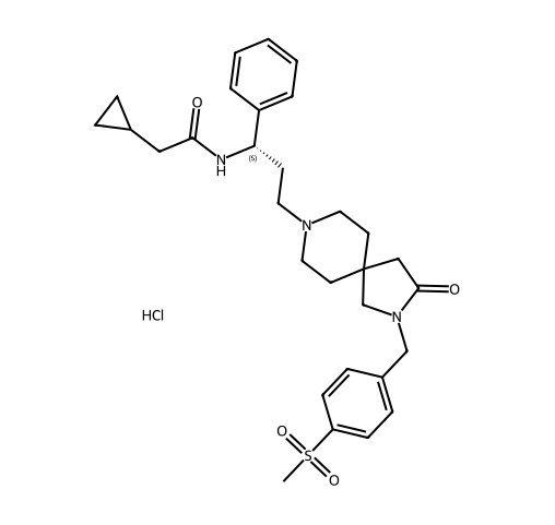 CS(=O)(=O)c1ccc(CN2CC3(CCN(CC[C@H](NC(=O)CC4CC4)c4ccccc4)CC3)CC2=O)cc1.Cl